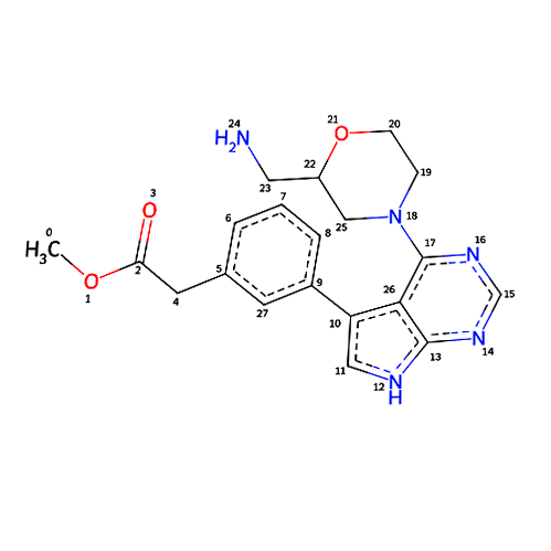 COC(=O)Cc1cccc(-c2c[nH]c3ncnc(N4CCOC(CN)C4)c23)c1